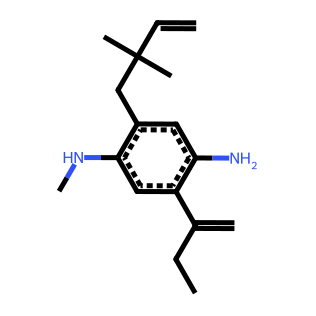 C=CC(C)(C)Cc1cc(N)c(C(=C)CC)cc1NC